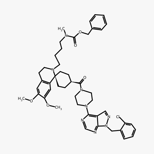 COc1cc2c(cc1OC)[C@]1(CC[C@H](C(=O)N3CCN(c4ncnc5c4cnn5Cc4ccccc4Cl)CC3)CC1)N(CCCCN(C)C(=O)OCc1ccccc1)CC2